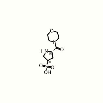 O=C([C@@H]1C[C@@H](S(=O)(=O)O)CN1)N1CCOCC1